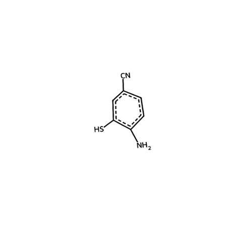 N#Cc1ccc(N)c(S)c1